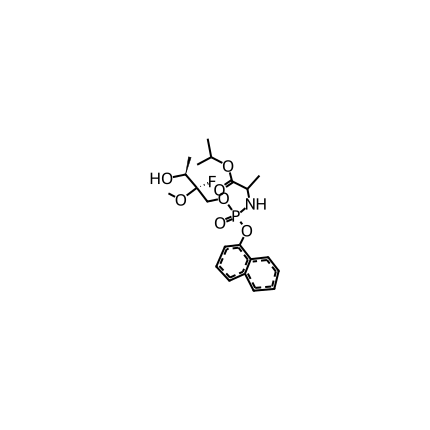 CO[C@](F)(COP(=O)(NC(C)C(=O)OC(C)C)Oc1cccc2ccccc12)[C@H](C)O